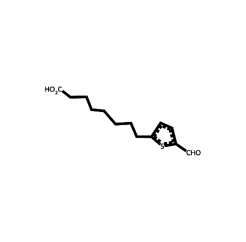 O=Cc1ccc(CCCCCCCC(=O)O)s1